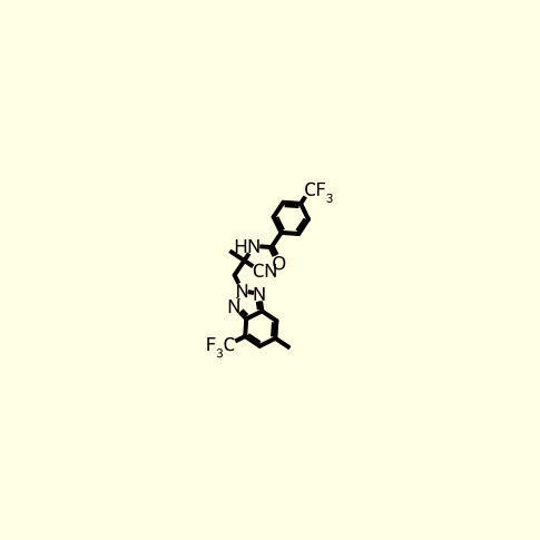 Cc1cc(C(F)(F)F)c2nn(CC(C)(C#N)NC(=O)c3ccc(C(F)(F)F)cc3)nc2c1